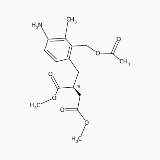 COC(=O)C[C@H](Cc1ccc(N)c(C)c1COC(C)=O)C(=O)OC